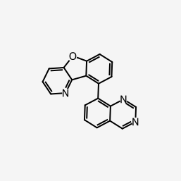 c1cc(-c2cccc3oc4cccnc4c23)c2ncncc2c1